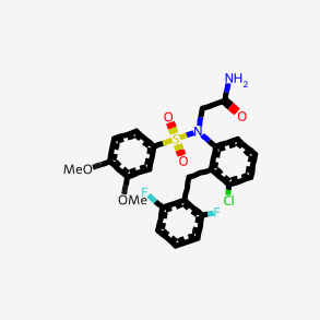 COc1ccc(S(=O)(=O)N(CC(N)=O)c2cccc(Cl)c2Cc2c(F)cccc2F)cc1OC